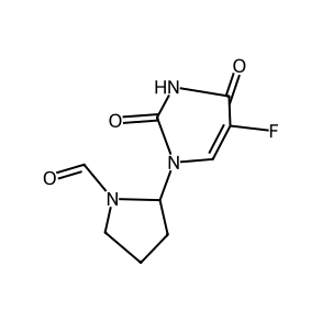 O=CN1CCCC1n1cc(F)c(=O)[nH]c1=O